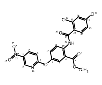 COC(=O)c1cc(Oc2ccc([N+](=O)[O-])cn2)ccc1NC(=O)c1ccc(Cl)cc1Cl